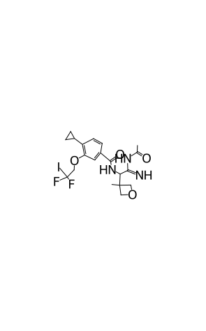 CC(=O)NC(=N)C(NC(=O)c1ccc(C2CC2)c(OCC(F)(F)I)c1)C1(C)COC1